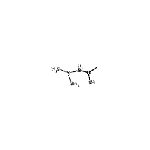 CN(S)[SiH2]N([SiH3])[SiH3]